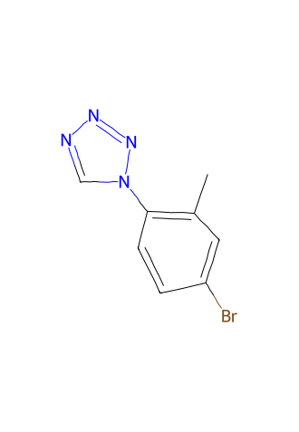 Cc1cc(Br)ccc1-n1cnnn1